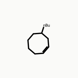 CC[CH]CC1CC=CCCCC1